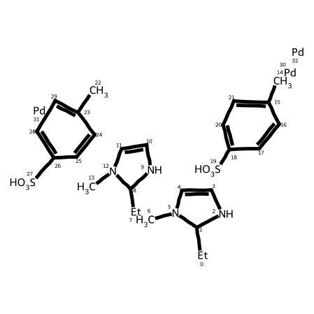 CCC1NC=CN1C.CCC1NC=CN1C.Cc1ccc(S(=O)(=O)O)cc1.Cc1ccc(S(=O)(=O)O)cc1.[Pd].[Pd].[Pd]